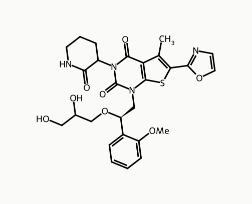 COc1ccccc1[C@H](Cn1c(=O)n(C2CCCNC2=O)c(=O)c2c(C)c(-c3ncco3)sc21)OCC(O)CO